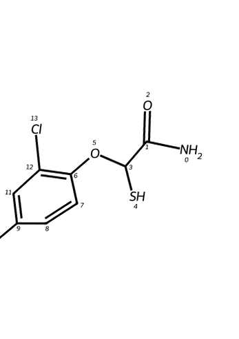 NC(=O)C(S)Oc1ccc(Cl)cc1Cl